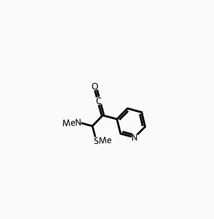 CNC(SC)C(=C=O)c1cccnc1